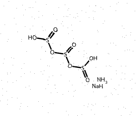 N.O=S(O)OS(=O)OS(=O)O.[NaH]